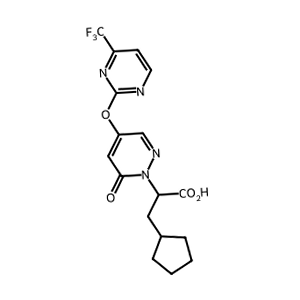 O=C(O)C(CC1CCCC1)n1ncc(Oc2nccc(C(F)(F)F)n2)cc1=O